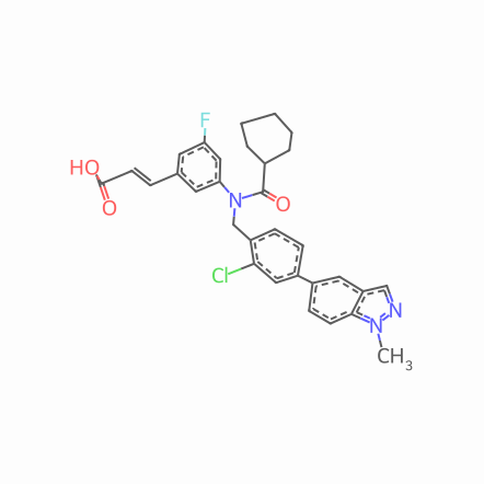 Cn1ncc2cc(-c3ccc(CN(C(=O)C4CCCCC4)c4cc(F)cc(/C=C/C(=O)O)c4)c(Cl)c3)ccc21